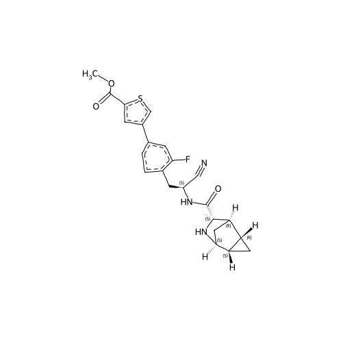 COC(=O)c1cc(-c2ccc(C[C@@H](C#N)NC(=O)[C@H]3N[C@H]4C[C@@H]3[C@@H]3C[C@@H]34)c(F)c2)cs1